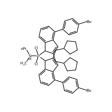 CCC[SiH](C)[Zr]([Cl])([Cl])([CH]1C(CC2CCCC2)=Cc2c(-c3ccc(C(C)CC)cc3)cccc21)[CH]1C(CC2CCCC2)=Cc2c(-c3ccc(C(C)CC)cc3)cccc21